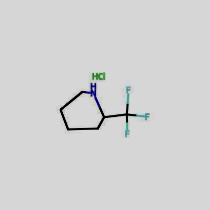 Cl.FC(F)(F)C1CCCCN1